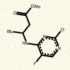 COC(=O)CC(Nc1nc(Cl)ncc1F)C(C)(C)C